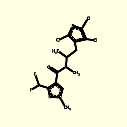 CC(Cc1c(Cl)sc(Cl)c1Cl)N(C)C(=O)c1cn(C)nc1C(F)F